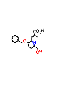 CC(=Cc1nc(CO)ccc1OCc1ccccc1)C(=O)O